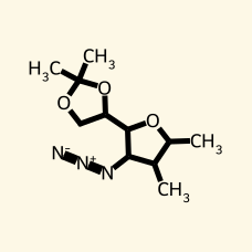 CC1OC(C2COC(C)(C)O2)C(N=[N+]=[N-])C1C